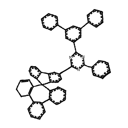 C1=CC2=C(CC1)c1ccccc1-c1ccccc1C21c2ccccc2-c2cc(-c3nc(-c4ccccc4)nc(-c4cc(-c5ccccc5)cc(-c5ccccc5)c4)n3)ccc21